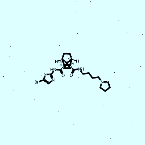 O=C(NCCCCN1CCCC1)[C@H]1[C@H](C(=O)Nc2ncc(Br)s2)[C@@H]2CC[C@H]1C21CC1